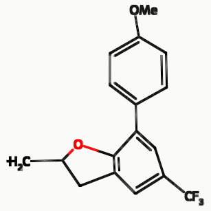 [CH2]C1Cc2cc(C(F)(F)F)cc(-c3ccc(OC)cc3)c2O1